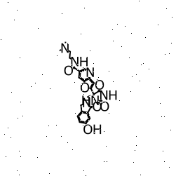 CN(C)CCNC(=O)c1cnc2cc([C@]3(CN4Cc5ccc(O)cc5C4=O)NC(=O)NC3=O)oc2c1